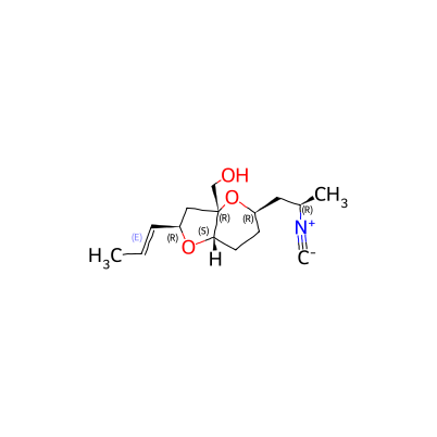 [C-]#[N+][C@H](C)C[C@H]1CC[C@@H]2O[C@@H](/C=C/C)C[C@]2(CO)O1